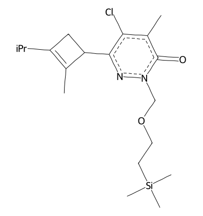 CC1=C(C(C)C)CC1c1nn(COCC[Si](C)(C)C)c(=O)c(C)c1Cl